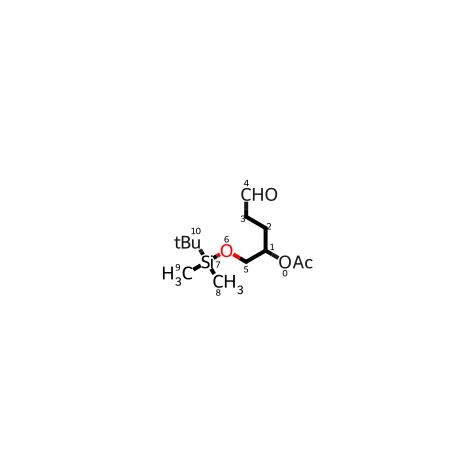 CC(=O)OC(CCC=O)CO[Si](C)(C)C(C)(C)C